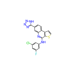 Fc1cc(Cl)cc(Nc2nc3cc(-c4nnn[nH]4)ccc3c3ccsc23)c1